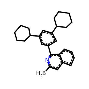 Bc1cc2ccccc2c(-c2cc(C3CCCCC3)cc(C3CCCCC3)c2)n1